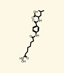 CC(C)CC(NC(=O)c1ccc(NC(=O)CCCCCCC(=O)NO)cc1)C(=O)O